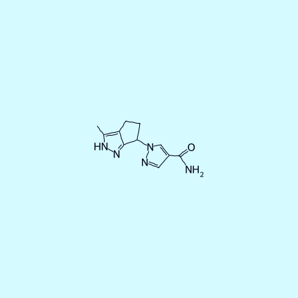 Cc1[nH]nc2c1CCC2n1cc(C(N)=O)cn1